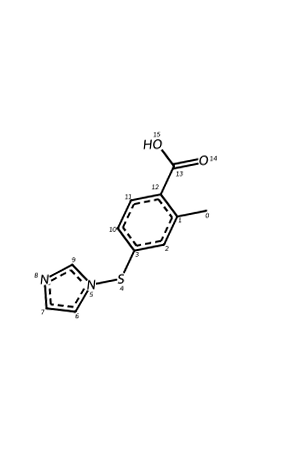 Cc1cc(Sn2ccnc2)ccc1C(=O)O